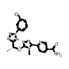 C[C@@H](Oc1nnc(-c2ccc(C(N)=O)cn2)n1C)c1nnn(-c2cccc(Cl)c2)n1